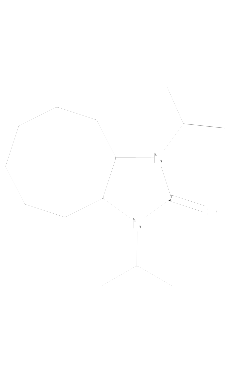 CC(C)N1C(=O)N(C(C)C)C2CCCCCCC21